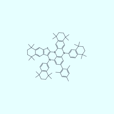 Cc1cc(C)c(-c2cc3c4c(c2)N(c2ccc5c(c2)C(C)(C)CCC5(C)C)c2c(sc5cc6c(cc25)C(C)(C)CCC6(C)C)B4c2cc4c(cc2N3c2ccc3c(c2)C(C)(C)CCC3(C)C)C(C)(C)CCC4(C)C)c(C)c1